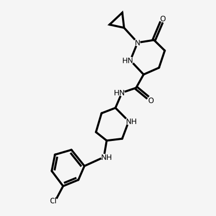 O=C(NC1CCC(Nc2cccc(Cl)c2)CN1)C1CCC(=O)N(C2CC2)N1